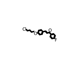 O=C(C=Cc1ccc(OCCCCCl)cc1)c1ccc(F)cc1